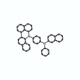 c1ccc(N(c2ccc(N3c4c(ccc5ccccc45)-c4cccc5cccc3c45)cc2)c2ccc3ccccc3c2)cc1